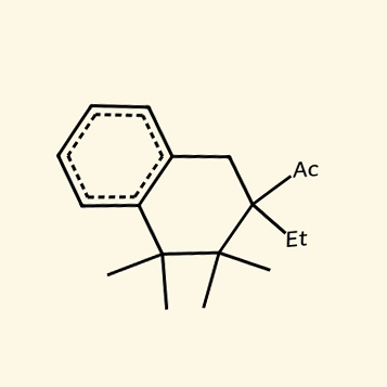 CCC1(C(C)=O)Cc2ccccc2C(C)(C)C1(C)C